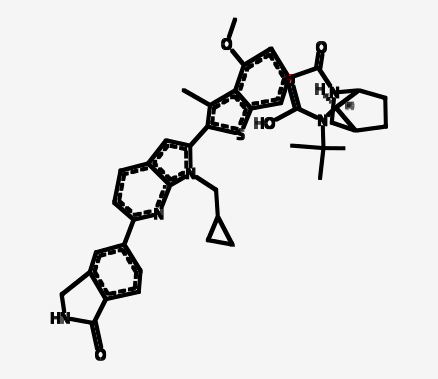 COc1cc(C(=O)N2CC3CCC2[C@@H]3N(C(=O)O)C(C)(C)C)cc2sc(-c3cc4ccc(-c5ccc6c(c5)CNC6=O)nc4n3CC3CC3)c(C)c12